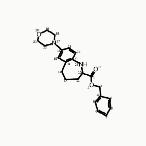 O=C(OCc1ccccc1)C1CCCc2cc(N3CCOCC3)ccc2N1